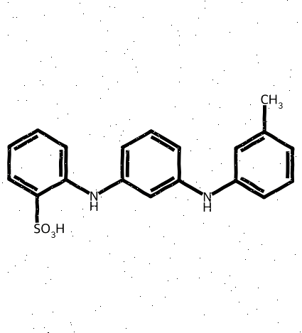 Cc1cccc(Nc2cccc(Nc3ccccc3S(=O)(=O)O)c2)c1